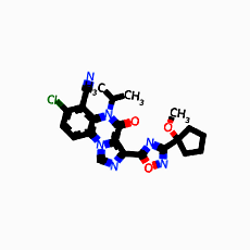 COC1(c2noc(-c3ncn4c3c(=O)n(C(C)C)c3c(C#N)c(Cl)ccc34)n2)CCCC1